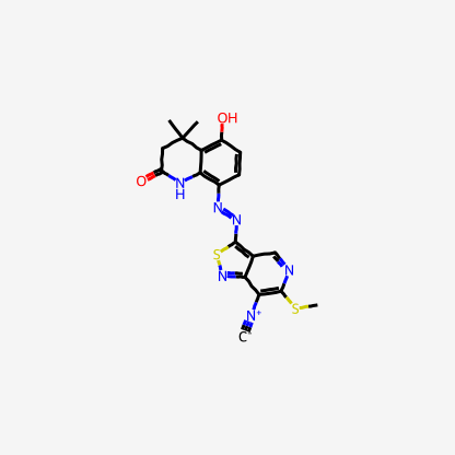 [C-]#[N+]c1c(SC)ncc2c(/N=N/c3ccc(O)c4c3NC(=O)CC4(C)C)snc12